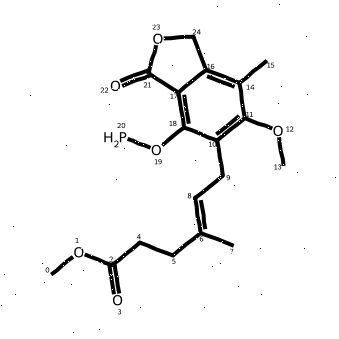 COC(=O)CC/C(C)=C/Cc1c(OC)c(C)c2c(c1OP)C(=O)OC2